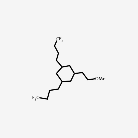 COCCC1CC(CCCC(F)(F)F)CC(CCCC(F)(F)F)C1